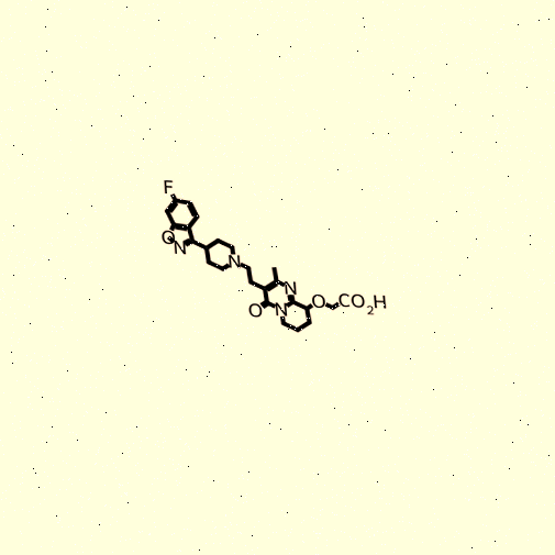 Cc1nc2n(c(=O)c1CCN1CCC(c3noc4cc(F)ccc34)CC1)CCCC2OCC(=O)O